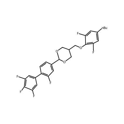 CCCCc1cc(F)c(OCC2COC(c3ccc(-c4cc(F)c(F)c(F)c4)c(F)c3)OC2)c(F)c1